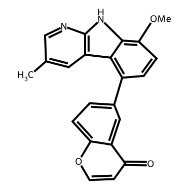 COc1ccc(-c2ccc3occc(=O)c3c2)c2c1[nH]c1ncc(C)cc12